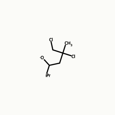 CC(C)C([O])CC(C)(Cl)CCl